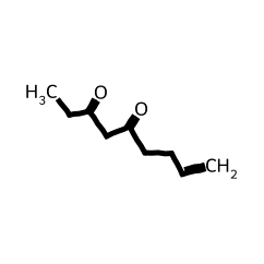 C=CCCC(=O)CC(=O)CC